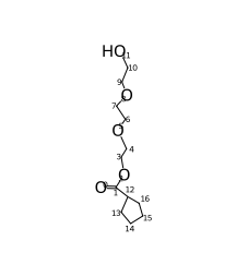 O=C(OCCOCCOCCO)C1CCCC1